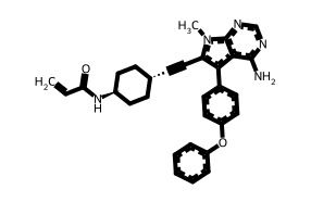 C=CC(=O)N[C@H]1CC[C@H](C#Cc2c(-c3ccc(Oc4ccccc4)cc3)c3c(N)ncnc3n2C)CC1